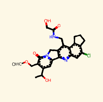 CC(O)c1cc2n(c(=O)c1COC=O)Cc1c-2nc2cc(Cl)c3c(c2c1CNC(=O)CO)CCC3